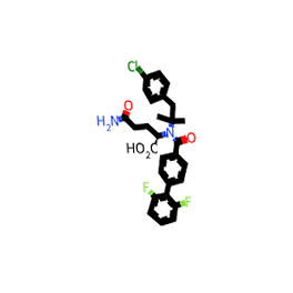 CC(C)(Cc1ccc(Cl)cc1)N(C(=O)c1ccc(-c2c(F)cccc2F)cc1)[C@@H](CCC(N)=O)C(=O)O